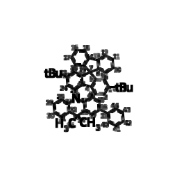 CC(C)(C)c1ccc2c(c1)C1(c3ccccc3-c3ccccc31)c1cc(C(C)(C)C)cc(N3c4ccccc4C(C)(C)c4cc(-c5ccccc5)ccc43)c1-2